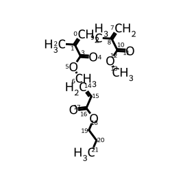 C=C(C)C(=O)OC.C=C(C)C(=O)OC.C=CC(=O)OCCC